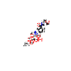 CC(C)(C)OC(=O)[C@H](O)[C@H]1OCCN(c2cccc(C(=O)N3CCOCC3)c2)C1=O